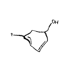 OC1C=CC=C(F)C1